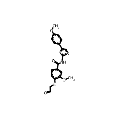 COc1ccc(-c2csc(NC(=O)c3ccc(OCC=O)c(OC)c3)n2)cc1